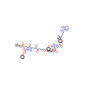 COC(=O)[C@H](CNC(=O)c1ccc2c(cnn2CCCNC2=NCCCN2)c1)NS(=O)(=O)c1c(C)cc(OCCCC(=O)NCCNC(=O)C(CCC(=O)OC(C)(C)C)NC(=O)OCc2ccccc2)cc1C